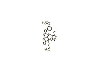 Cn1c(=O)n(CCCO)c(=O)c2c1nc(Oc1cccc(OC(F)(F)F)c1)n2Cc1cnccc1Cl